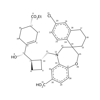 CCOC(=O)[C@@H]1CC=C([C@@H](O)[C@@H]2CC[C@H]2CN2CC3(CCCc4cc(Cl)ccc43)COc3ccc(C(=O)O)cc32)CC1